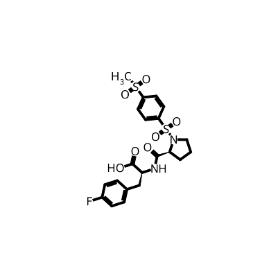 CS(=O)(=O)c1ccc(S(=O)(=O)N2CCC[C@H]2C(=O)N[C@@H](Cc2ccc(F)cc2)C(=O)O)cc1